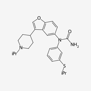 CC(C)Sc1cccc(N(C(N)=O)c2ccc3occ(C4CCN(C(C)C)CC4)c3c2)c1